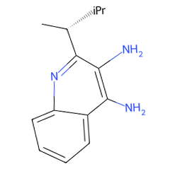 CC(C)[C@@H](C)c1nc2ccccc2c(N)c1N